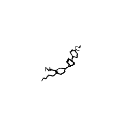 CCCCCC1=C(C#N)CC(c2ccc(C3CCC(CCC)CC3)cc2)CC1